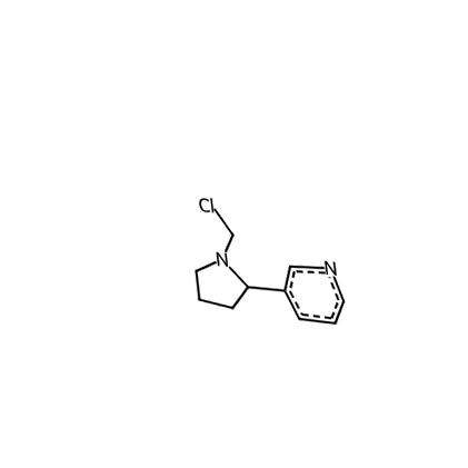 ClCN1CCCC1c1cccnc1